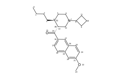 CCCC[C@H]1CCN(C2CCC2)C[C@@H]1C(=O)c1ccc2cc(OC)ccc2c1